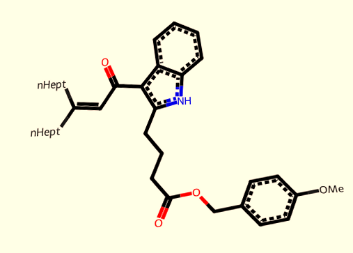 CCCCCCCC(=CC(=O)c1c(CCCC(=O)OCc2ccc(OC)cc2)[nH]c2ccccc12)CCCCCCC